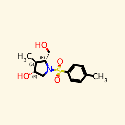 Cc1ccc(S(=O)(=O)N2C[C@H](O)[C@@H](C)[C@@H]2CO)cc1